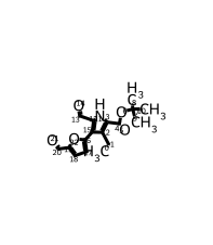 CCc1c(C(=O)OC(C)(C)C)[nH]c(C=O)c1-c1ccc(C=O)o1